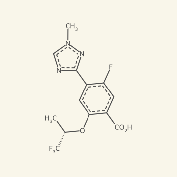 C[C@H](Oc1cc(-c2ncn(C)n2)c(F)cc1C(=O)O)C(F)(F)F